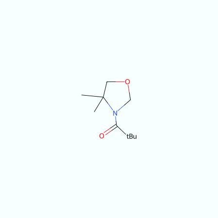 CC(C)(C)C(=O)N1COCC1(C)C